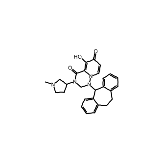 CN1CCC(N2CN(C3c4ccccc4CCc4ccccc43)n3ccc(=O)c(O)c3C2=O)C1